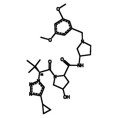 COc1cc(CN2CCC(NC(=O)C3CC(O)CN3C(=O)[C@@H](n3cc(C4CC4)nn3)C(C)(C)C)C2)cc(OC)c1